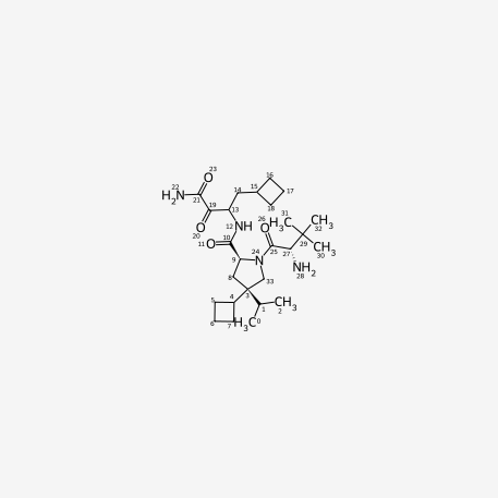 CC(C)[C@@]1(C2CCC2)C[C@@H](C(=O)NC(CC2CCC2)C(=O)C(N)=O)N(C(=O)[C@@H](N)C(C)(C)C)C1